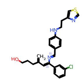 C=C(/C=C(\N=C\c1ccc(NCCc2cscn2)cc1)c1cccc(Cl)c1)CCCO